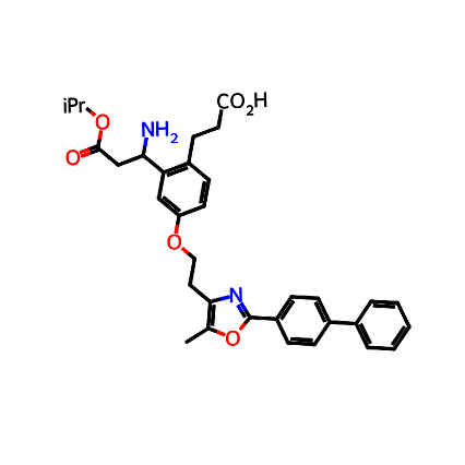 Cc1oc(-c2ccc(-c3ccccc3)cc2)nc1CCOc1ccc(CCC(=O)O)c(C(N)CC(=O)OC(C)C)c1